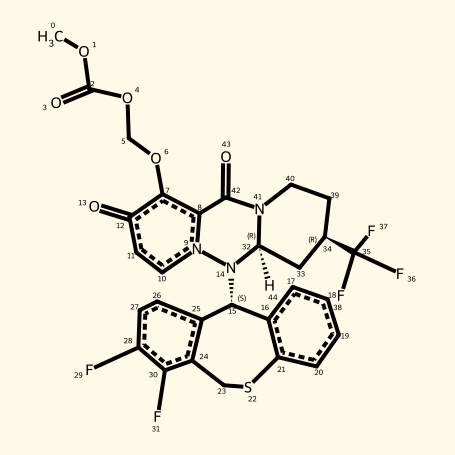 COC(=O)OCOc1c2n(ccc1=O)N([C@@H]1c3ccccc3SCc3c1ccc(F)c3F)[C@@H]1C[C@H](C(F)(F)F)CCN1C2=O